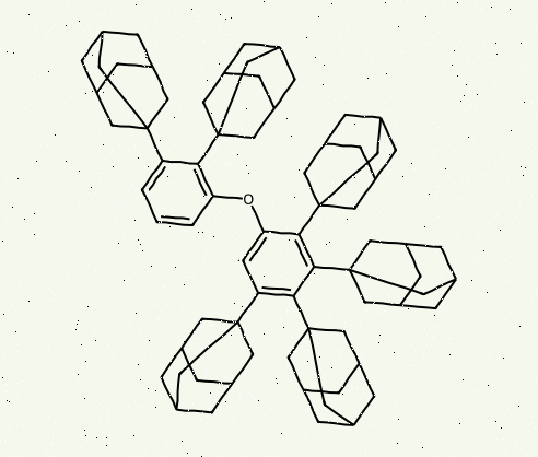 [c]1c(Oc2cccc(C34CC5CC(CC(C5)C3)C4)c2C23CC4CC(CC(C4)C2)C3)c(C23CC4CC(CC(C4)C2)C3)c(C23CC4CC(CC(C4)C2)C3)c(C23CC4CC(CC(C4)C2)C3)c1C12CC3CC(CC(C3)C1)C2